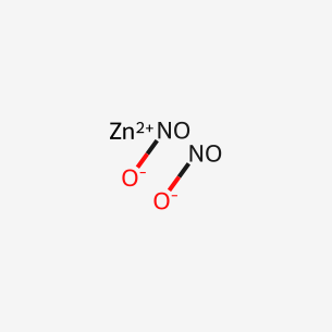 O=N[O-].O=N[O-].[Zn+2]